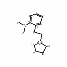 CN(C)c1ccccc1C[CH2][Al]1[CH2]CC[CH2]1